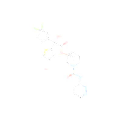 O=C(OC1C[N+]2(C(=O)Nc3cccnn3)CCC1CC2)[C@@](O)(c1cccs1)C1CCC(F)(F)C1.[Br-]